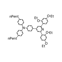 CCCCCc1ccc(N(c2ccc(CCCCC)cc2)c2ccc(-c3cc(-c4ccc(OCC)cc4OCC)nc(-c4ccc(OCC)cc4OCC)c3)cc2)cc1